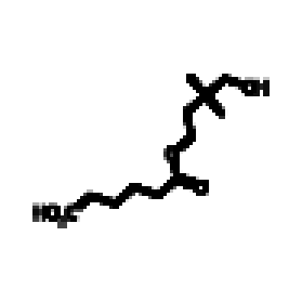 CC(C)(CO)CCOC(=O)CCCCC(=O)O